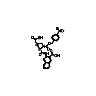 O=C(S)C[C@@H]1C[C@@H](C(=O)Nc2nc3ccccc3cc2C(=O)O)N(C(=O)OCc2ccc([N+](=O)[O-])cc2)C1